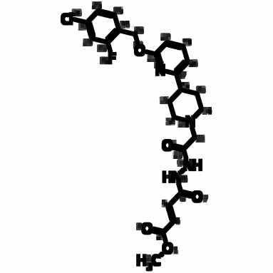 COC(=O)/C=C/C(=O)NNC(=O)CN1CCC(c2cccc(OCc3ccc(Cl)cc3F)n2)CC1